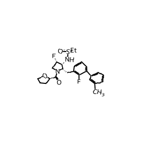 CC[S+]([O-])N[C@H]1[C@@H](F)CN(C(=O)[C@H]2CCCO2)[C@H]1Cc1cccc(-c2cccc(C)c2)c1F